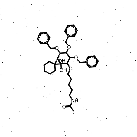 CC(=O)NCCCCCOC1C(OCc2ccccc2)C(OCc2ccccc2)C(OCc2ccccc2)C2(O)C3(CCCCC3)C12O